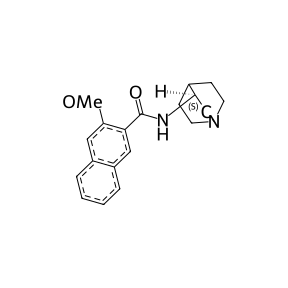 COc1cc2ccccc2cc1C(=O)N[C@@H]1CN2CCC1CC2